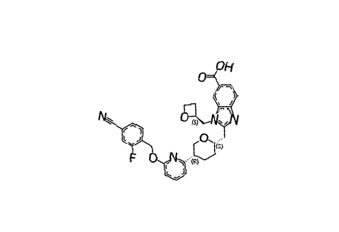 N#Cc1ccc(COc2cccc([C@H]3CC[C@@H](Cc4nc5ccc(C(=O)O)cc5n4C[C@@H]4CCO4)OC3)n2)c(F)c1